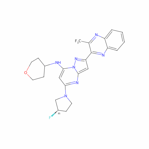 F[C@@H]1CCN(c2cc(NC3CCOCC3)n3nc(-c4nc5ccccc5nc4C(F)(F)F)cc3n2)C1